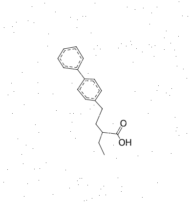 CCC(CCc1ccc(-c2ccccc2)cc1)C(=O)O